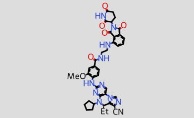 CC[C@@H]1c2c(C#N)ncn2-c2cnc(Nc3ccc(C(=O)NCCNc4cccc5c4C(=O)N(C4CCC(=O)NC4=O)C5=O)cc3OC)nc2N1C1CCCC1